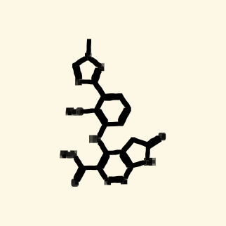 CNC(=O)c1nnc2c(c1Nc1cccc(-c3ncn(C)n3)c1OC)CC(=O)N2